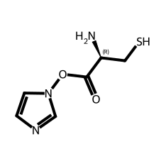 N[C@@H](CS)C(=O)On1ccnc1